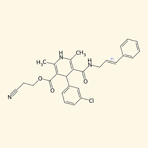 CC1=C(C(=O)NC/C=C/c2ccccc2)C(c2cccc(Cl)c2)C(C(=O)OCCC#N)=C(C)N1